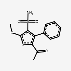 COc1sc(C(C)=O)c(-c2ccccc2)c1S(N)(=O)=O